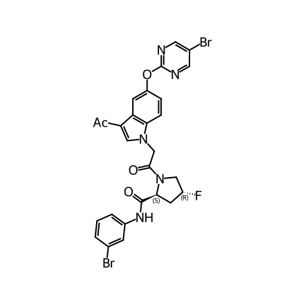 CC(=O)c1cn(CC(=O)N2C[C@H](F)C[C@H]2C(=O)Nc2cccc(Br)c2)c2ccc(Oc3ncc(Br)cn3)cc12